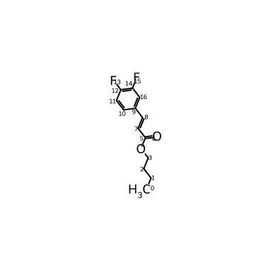 CCCCOC(=O)C=Cc1ccc(F)c(F)c1